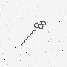 CCCCCCCCCCCc1cccc2c1ccc1ccccc12